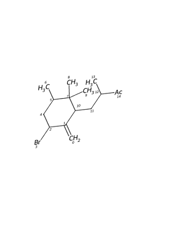 C=C1C(Br)CC(C)C(C)(C)C1CC(C)C(C)=O